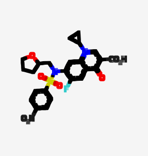 O=C(O)c1cn(C2CC2)c2cc(N(CC3CCCO3)S(=O)(=O)c3ccc([N+](=O)[O-])cc3)c(F)cc2c1=O